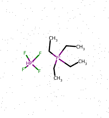 CC[P+](CC)(CC)CC.F[PH-](F)(F)F